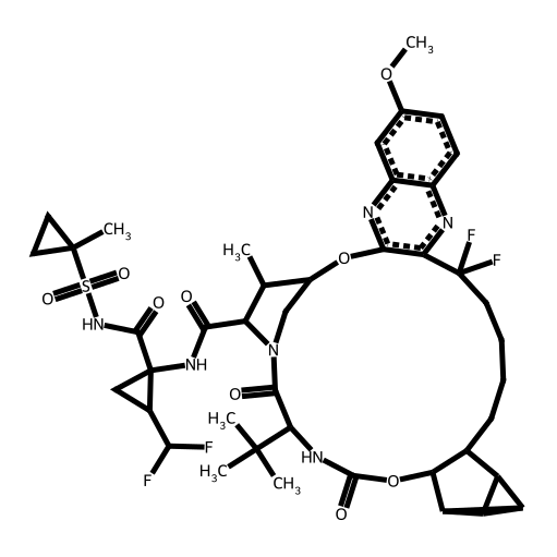 COc1ccc2nc3c(nc2c1)OC1CN(C(=O)C(C(C)(C)C)NC(=O)OC2C(CCCCC3(F)F)C3C4C2C34)C(C(=O)NC2(C(=O)NS(=O)(=O)C3(C)CC3)CC2C(F)F)C1C